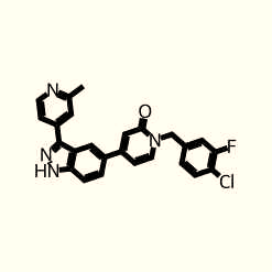 Cc1cc(-c2n[nH]c3ccc(-c4ccn(Cc5ccc(Cl)c(F)c5)c(=O)c4)cc23)ccn1